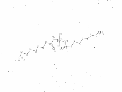 CCCCCCCCC(=O)O[Te](I)(I)OC(=O)CCCCCCCC